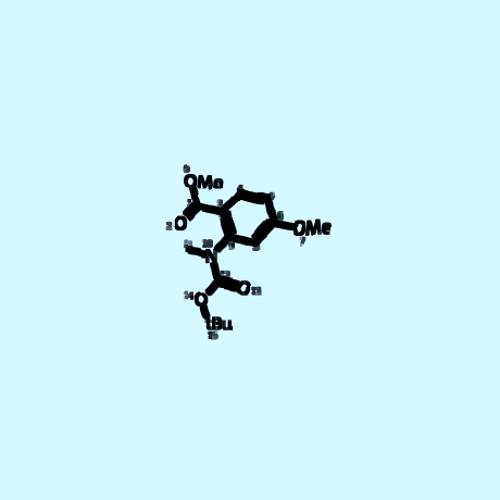 COC(=O)c1ccc(OC)cc1N(C)C(=O)OC(C)(C)C